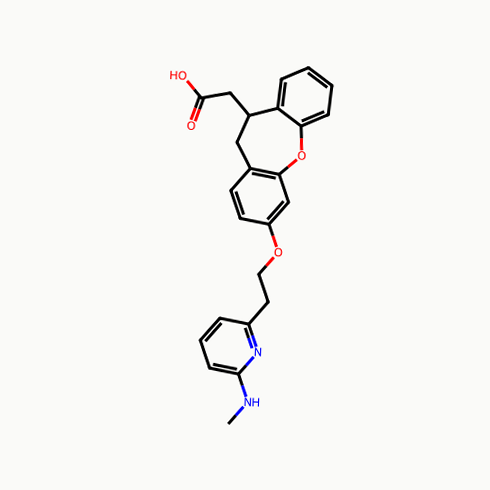 CNc1cccc(CCOc2ccc3c(c2)Oc2ccccc2C(CC(=O)O)C3)n1